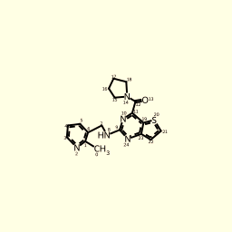 Cc1ncccc1CNc1nc(C(=O)N2CCCC2)c2sccc2n1